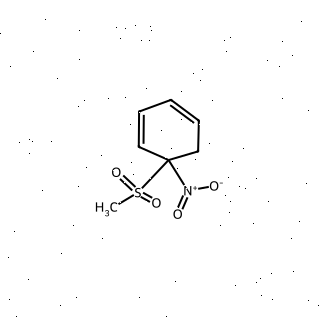 CS(=O)(=O)C1([N+](=O)[O-])C=CC=CC1